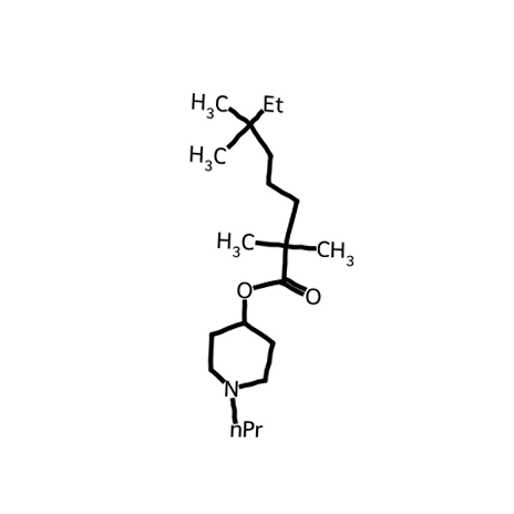 CCCN1CCC(OC(=O)C(C)(C)CCCC(C)(C)CC)CC1